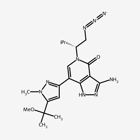 COC(C)(C)c1cc(-c2cn([C@@H](CN=[N+]=[N-])C(C)C)c(=O)c3c(N)n[nH]c23)nn1C